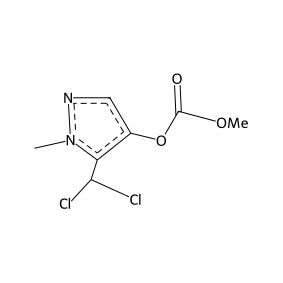 COC(=O)Oc1cnn(C)c1C(Cl)Cl